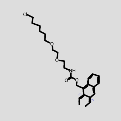 C/C=c1/cc2ccccc2c(COC(=O)NCCOCCOCCCCCCCl)/c1=C/C